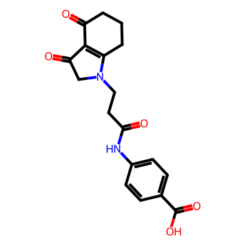 O=C(CCN1CC(=O)C2=C1CCCC2=O)Nc1ccc(C(=O)O)cc1